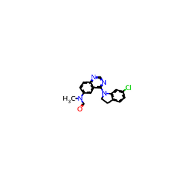 CN(C=O)c1ccc2ncnc(N3CCc4ccc(Cl)cc43)c2c1